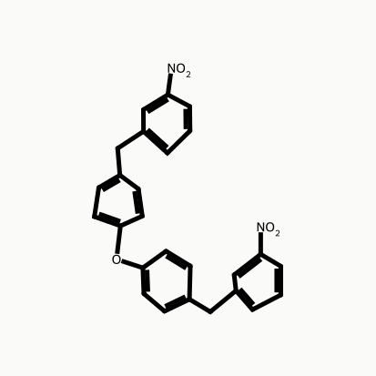 O=[N+]([O-])c1cccc(Cc2ccc(Oc3ccc(Cc4cccc([N+](=O)[O-])c4)cc3)cc2)c1